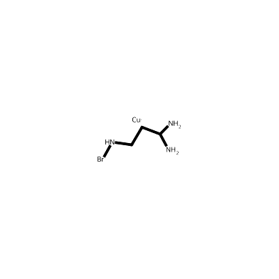 NC(N)CCNBr.[Cu]